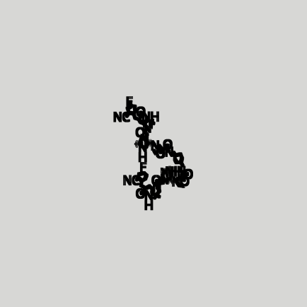 C[C@@H]1CN(CC(=O)N2CC(C)(C)c3[nH]c(=O)c(Cc4ccc(F)cc4C#N)cc32)[C@@H](CN2CCO[C@H](C(=O)NCc3ccc(CNC(=O)[C@@H]4CN(C[C@H]5CN[C@H](C)CN5CC(=O)N5CC(C)(C)c6[nH]c(=O)c(Cc7ccc(F)cc7C#N)cc65)CCO4)cc3)C2)CN1